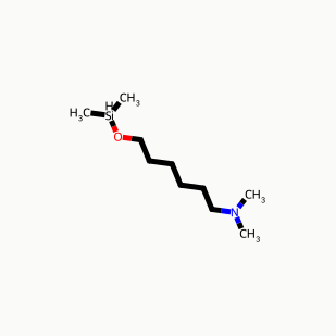 CN(C)CCCCCCO[SiH](C)C